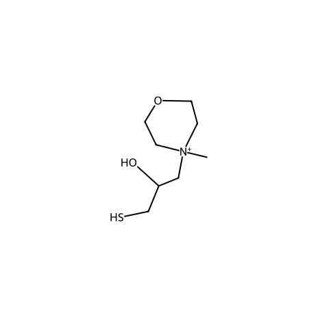 C[N+]1(CC(O)CS)CCOCC1